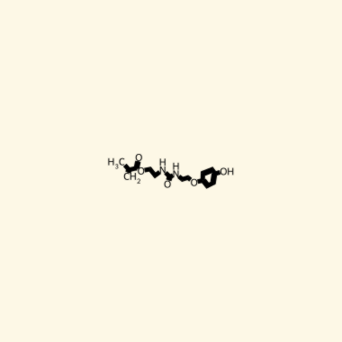 C=C(C)C(=O)OCCNC(=O)NCCOc1ccc(O)cc1